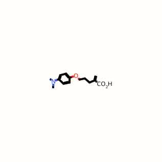 C=C(CCCOc1ccc(N(C)C)cc1)C(=O)O